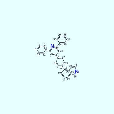 c1ccc(-c2cc(-c3ccc(-c4cccc5cnccc45)cc3)cc(-c3ccccc3)n2)cc1